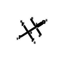 CP(C)(=O)C(F)(F)F